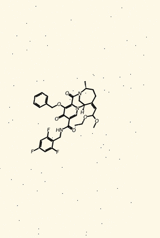 CCOC(C=C1CC[C@H](C)N2C[C@H]1n1cc(C(=O)NCc3c(F)cc(F)cc3F)c(=O)c(OCc3ccccc3)c1C2=O)OC